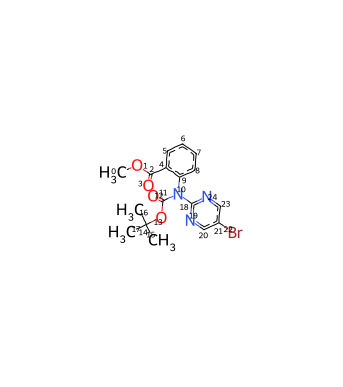 COC(=O)c1ccccc1N(C(=O)OC(C)(C)C)c1ncc(Br)cn1